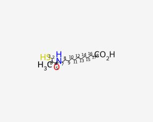 CC(CS)C(=O)NCCCCCCCCCCCC(=O)O